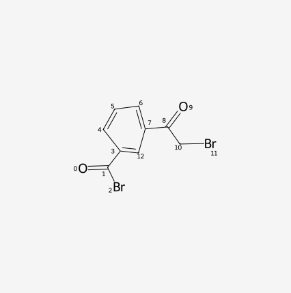 O=C(Br)c1cccc(C(=O)CBr)c1